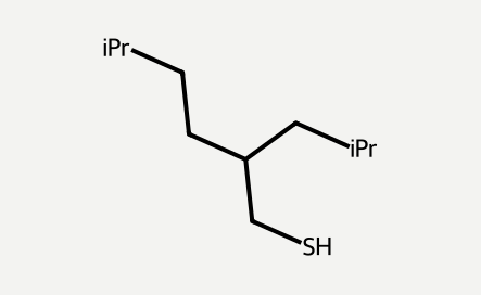 CC(C)CCC(CS)CC(C)C